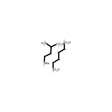 CSCCC(N)C(=O)O.O=S(=O)(O)CCCCS(=O)(=O)O